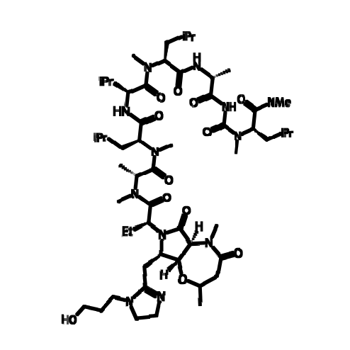 CC[C@@H](C(=O)N(C)[C@H](C)C(=O)N(C)[C@@H](CC(C)C)C(=O)N[C@H](C(=O)N(C)[C@@H](CC(C)C)C(=O)N[C@H](C)C(=O)NC(=O)N(C)[C@H](CC(C)C)C(=O)NC)C(C)C)N1C(=O)[C@@H]2[C@H](OC(C)CC(=O)N2C)[C@H]1CC1=NCCN1CCCO